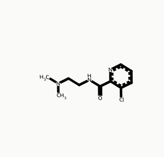 CN(C)CCNC(=O)c1ncccc1Cl